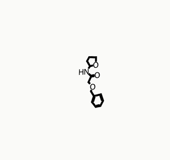 O=C(COCc1ccccc1)NC1CCCO1